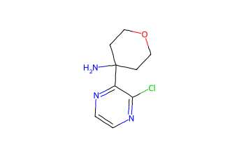 NC1(c2nccnc2Cl)CCOCC1